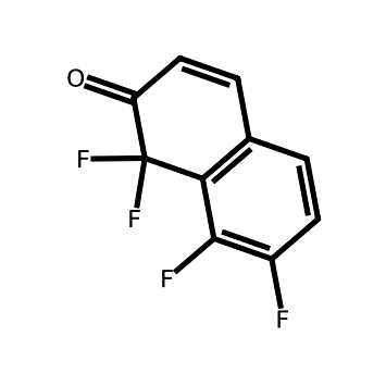 O=C1C=Cc2ccc(F)c(F)c2C1(F)F